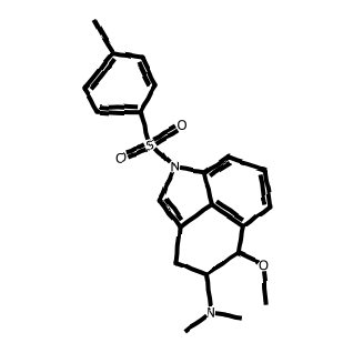 COC1c2cccc3c2c(cn3S(=O)(=O)c2ccc(C)cc2)CC1N(C)C